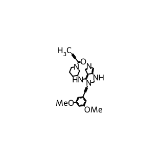 CC#CC(=O)N1CCCC(NC2=C3C=NC=C3NCN2C#Cc2cc(OC)cc(OC)c2)C1